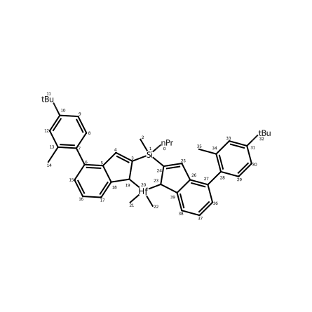 CCC[Si]1(C)C2=Cc3c(-c4ccc(C(C)(C)C)cc4C)cccc3[CH]2[Hf]([CH3])([CH3])[CH]2C1=Cc1c(-c3ccc(C(C)(C)C)cc3C)cccc12